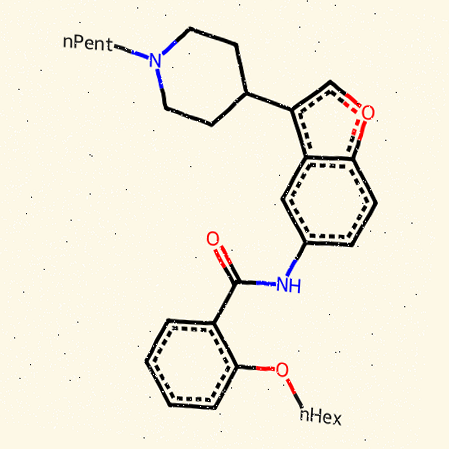 CCCCCCOc1ccccc1C(=O)Nc1ccc2occ(C3CCN(CCCCC)CC3)c2c1